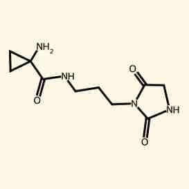 NC1(C(=O)NCCCN2C(=O)CNC2=O)CC1